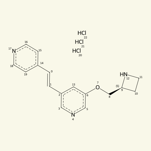 C(=Cc1cncc(OC[C@@H]2CCN2)c1)c1ccncc1.Cl.Cl.Cl